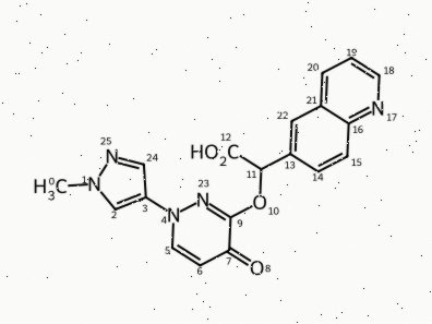 Cn1cc(-n2ccc(=O)c(OC(C(=O)O)c3ccc4ncccc4c3)n2)cn1